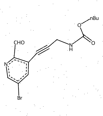 CCCCOC(=O)NCC#Cc1cc(Br)cnc1C=O